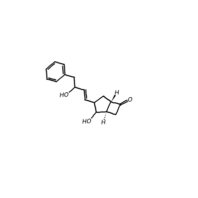 O=C1C[C@H]2C(O)C(C=CC(O)Cc3ccccc3)C[C@H]12